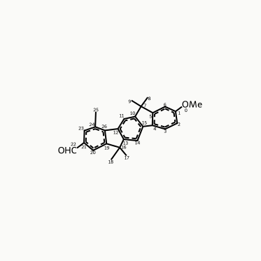 COc1ccc2c(c1)C(C)(C)c1cc3c(cc1-2)C(C)(C)c1cc(C=O)cc(C)c1-3